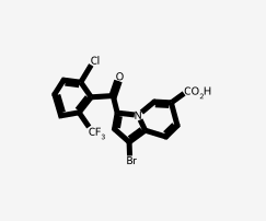 O=C(O)c1ccc2c(Br)cc(C(=O)c3c(Cl)cccc3C(F)(F)F)n2c1